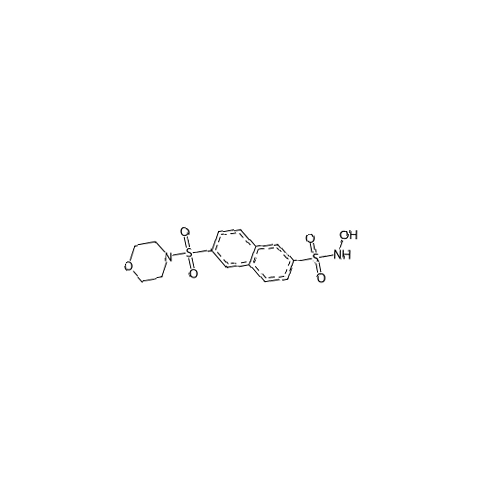 O=S(=O)(NO)c1ccc2cc(S(=O)(=O)N3CCOCC3)ccc2c1